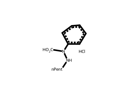 CCCCCNN(C(=O)O)c1ccccc1.Cl